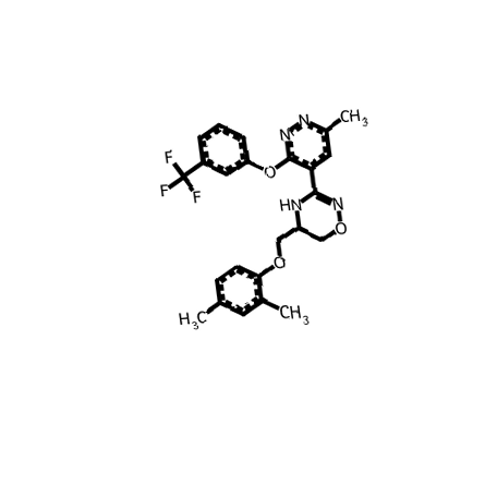 Cc1ccc(OCC2CON=C(c3cc(C)nnc3Oc3cccc(C(F)(F)F)c3)N2)c(C)c1